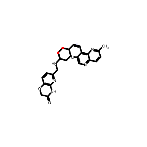 Cc1ccc2ncc(Cl)c(/C=C\C34CCC(NCc5ccc6c(n5)NC(=O)CO6)(CC3)CC4)c2n1